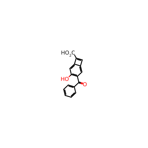 O=C(O)C1=Cc2cc(C(=O)c3ccccc3)c(O)cc21